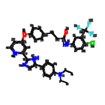 CCN(CC)c1ccc(-c2cnc(-c3cc(Oc4ccc(CCC(=O)Nc5ccc(Cl)c(C(F)(F)F)c5)cc4)ccn3)[nH]2)cc1